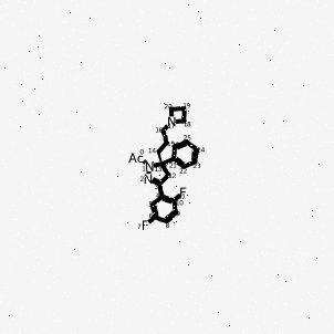 CC(=O)N1N=C(c2cc(F)ccc2F)C[C@@]1(CCCN1CCC1)c1ccccc1